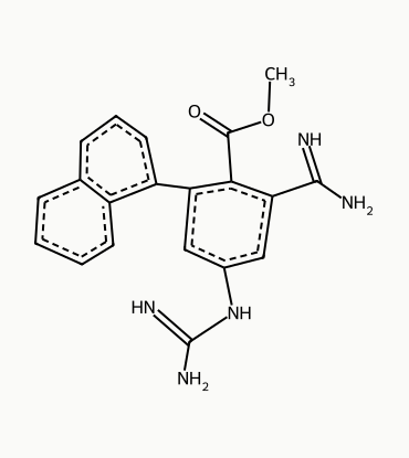 COC(=O)c1c(C(=N)N)cc(NC(=N)N)cc1-c1cccc2ccccc12